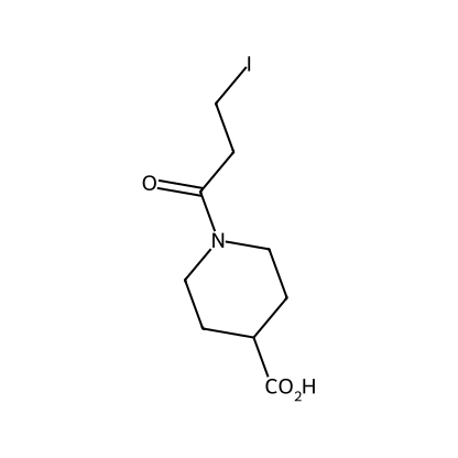 O=C(O)C1CCN(C(=O)CCI)CC1